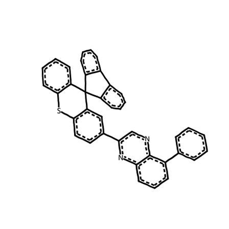 c1ccc(-c2cccc3nc(-c4ccc5c(c4)C4(c6ccccc6S5)c5ccccc5-c5ccccc54)cnc23)cc1